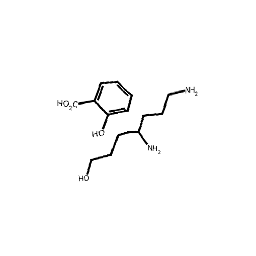 NCCCC(N)CCCO.O=C(O)c1ccccc1O